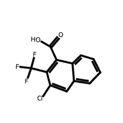 O=C(O)c1c(C(F)(F)F)c(Cl)cc2ccccc12